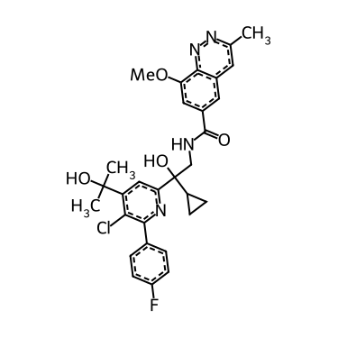 COc1cc(C(=O)NCC(O)(c2cc(C(C)(C)O)c(Cl)c(-c3ccc(F)cc3)n2)C2CC2)cc2cc(C)nnc12